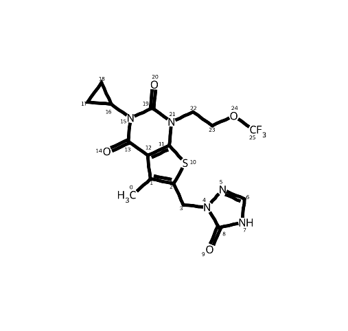 Cc1c(Cn2nc[nH]c2=O)sc2c1c(=O)n(C1CC1)c(=O)n2CCOC(F)(F)F